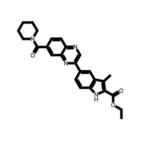 CCOC(=O)c1[nH]c2ccc(-c3cnc4ccc(C(=O)N5CCCCC5)cc4n3)cc2c1C